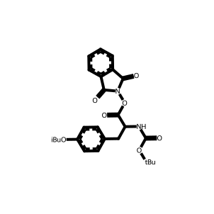 CC(C)COc1ccc(CC(NC(=O)OC(C)(C)C)C(=O)ON2C(=O)c3ccccc3C2=O)cc1